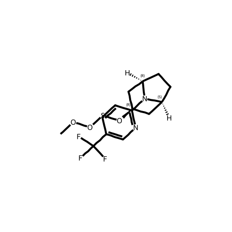 COOSO[C@H]1C[C@H]2CC[C@@H](C1)N2c1ccc(C(F)(F)F)cn1